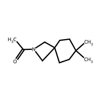 CC(=O)N1CC2(CCC(C)(C)CC2)C1